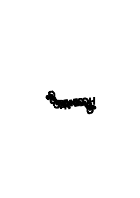 C=CC(=O)OCC(O)COc1ccc(C(C)(C)c2ccc(OCC(O)COC(=O)C=C)cc2C)cc1